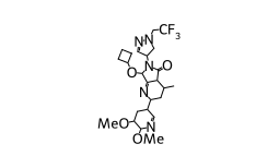 COC1CC(C2CC(C)C3C(=O)N(C4C=NN(CC(F)(F)F)C4)C(OC4CCC4)C3=N2)C=NC1OC